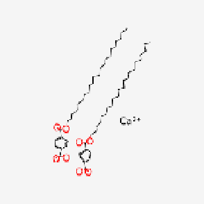 CCCCCCCCCCCCCCCCCCCCCCOC(=O)c1ccc(C(=O)[O-])cc1.CCCCCCCCCCCCCCCCCCCCCCOC(=O)c1ccc(C(=O)[O-])cc1.[Ca+2]